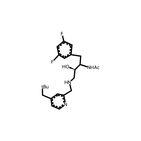 CC(=O)NC(Cc1cc(F)cc(F)c1)[C@H](O)CNCc1cc(CC(C)(C)C)ccn1